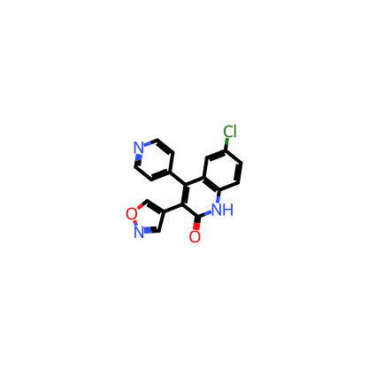 O=c1[nH]c2ccc(Cl)cc2c(-c2ccncc2)c1-c1cnoc1